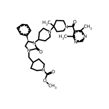 COC(=O)N1CCC(CN2C[C@@H](c3ccccc3)N(C3CCN(C4(C)CCN(C(=O)c5c(C)ncnc5C)CC4)CC3)C2=O)CC1